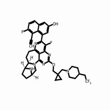 C#Cc1c(F)ccc2cc(O)cc(-c3nc4c5c(nc(OCC6(CN7CCC(CC(F)(F)F)CC7)CC6)nc5c3F)N3C[C@H]5CC[C@H](N5)[C@H]3CC4)c12